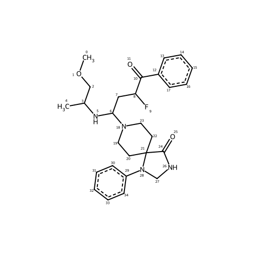 COCC(C)NC(CC(F)C(=O)c1ccccc1)N1CCC2(CC1)C(=O)NCN2c1ccccc1